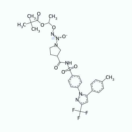 Cc1ccc(-c2cc(C(F)(F)F)nn2-c2ccc(S(=O)(=O)NC(=O)C3CCN(/[N+]([O-])=N/OC(C)OC(=O)C(C)(C)C)C3)cc2)cc1